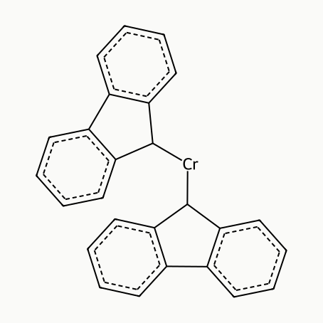 c1ccc2c(c1)-c1ccccc1[CH]2[Cr][CH]1c2ccccc2-c2ccccc21